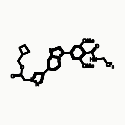 COc1cc(-c2cnc3cc(-c4cnn(CC(=O)OCC5CCC5)c4)ccn23)cc(OC)c1C(=O)NCC(F)(F)F